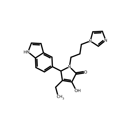 CCC1=C(O)C(=O)N(CCCn2ccnc2)C1c1ccc2[nH]ccc2c1